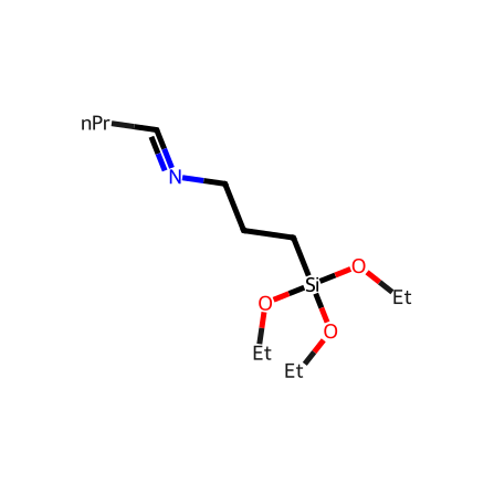 CCCC=NCCC[Si](OCC)(OCC)OCC